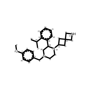 COc1ccc(CN2CCN(C3CC4(CNC4)C3)C(c3ccccc3C(C)C)C2)cc1